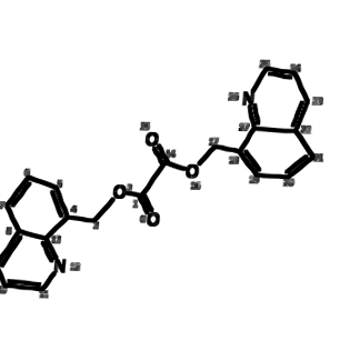 O=C(OCc1cccc2cccnc12)C(=O)OCc1cccc2cccnc12